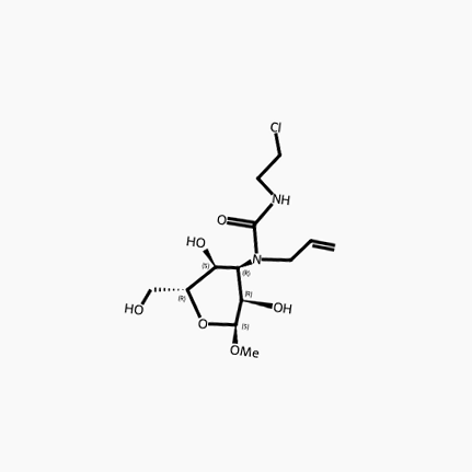 C=CCN(C(=O)NCCCl)[C@H]1[C@@H](O)[C@@H](OC)O[C@H](CO)[C@H]1O